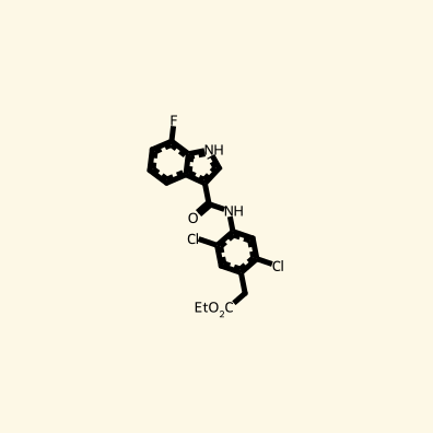 CCOC(=O)Cc1cc(Cl)c(NC(=O)c2c[nH]c3c(F)cccc23)cc1Cl